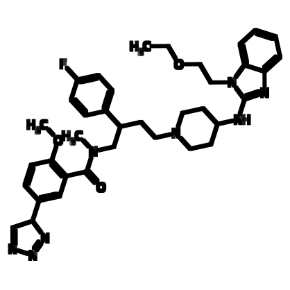 CCOCCn1c(NC2CCN(CCC(CN(C)C(=O)c3cc(C4C=NN=N4)ccc3OC)c3ccc(F)cc3)CC2)nc2ccccc21